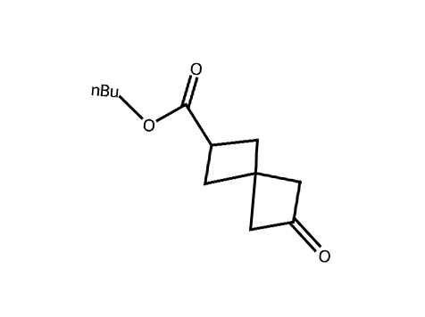 CCCCOC(=O)C1CC2(CC(=O)C2)C1